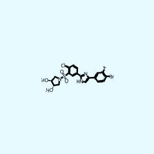 O=S(=O)(c1cc(-c2nc(-c3ccc(Br)c(F)c3)c[nH]2)ccc1Cl)N1C[C@H](O)[C@@H](O)C1